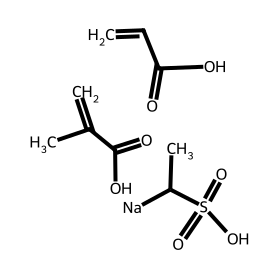 C=C(C)C(=O)O.C=CC(=O)O.C[CH]([Na])S(=O)(=O)O